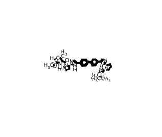 COC(=O)N[C@H](C(=O)N1N=CC[C@H]1c1ncc(-c2ccc(-c3ccc(-c4cnc([C@@H]5CCCN5C(=O)OC(C)(C)C)[nH]4)cc3)cc2)[nH]1)C(C)C